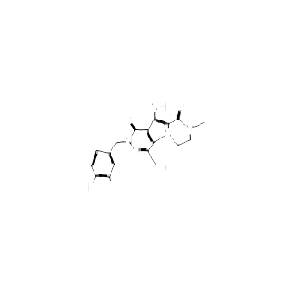 CC(C)c1nn(Cc2ccc(F)c(Cl)c2)c(=O)c2c(N)c3n(c12)CCN(C)C3=O